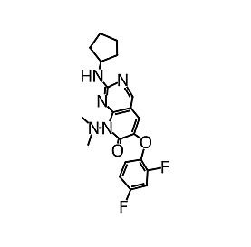 CN(C)n1c(=O)c(Oc2ccc(F)cc2F)cc2cnc(NC3CCCC3)nc21